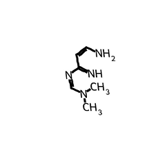 CN(C)/C=N\C(=N)/C=C\N